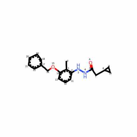 Cc1c(NNC(=O)CC2CC2)cccc1OCc1ccccc1